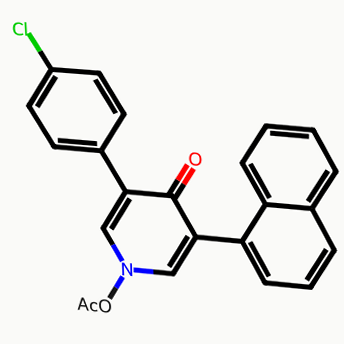 CC(=O)On1cc(-c2ccc(Cl)cc2)c(=O)c(-c2cccc3ccccc23)c1